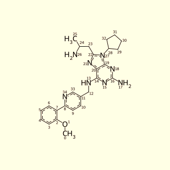 COc1ccccc1-c1ccc(CNc2nc(N)nc3c2nc(CC(C)N)n3C2CCCC2)cn1